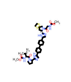 COC(=O)NCC(=O)N1CC2(C[C@H]1c1ncc(-c3ccc(-c4ccc(-c5cnc(C6CCCN6C(=O)[C@@H](NC(=O)OC)C(C)C)[nH]5)cc4)cc3)[nH]1)SCCS2